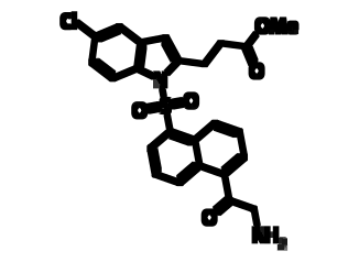 COC(=O)CCc1cc2cc(Cl)ccc2n1S(=O)(=O)c1cccc2c(C(=O)CN)cccc12